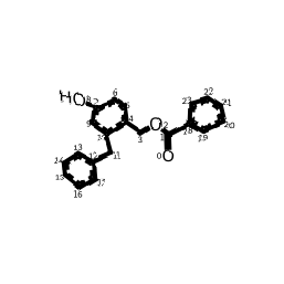 O=C(OCc1ccc(O)cc1Cc1ccccc1)c1ccccc1